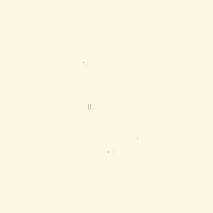 CN(C)CCNc1ccc(Cl)c(Cl)c1